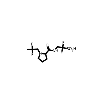 CC(F)(F)CN1CCCC1C(=O)NCC(F)(F)S(=O)(=O)O